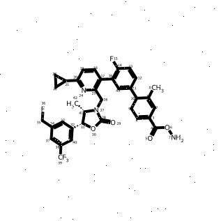 CC1=CC(C(=O)ON)=CCC1c1ccc(F)c(-c2ccc(C3CC3)nc2CN2C(=O)O[C@H](c3cc(CF)cc(C(F)(F)F)c3)[C@@H]2C)c1